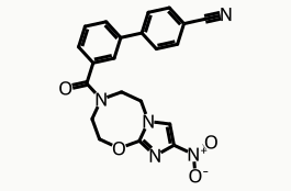 N#Cc1ccc(-c2cccc(C(=O)N3CCOc4nc([N+](=O)[O-])cn4CC3)c2)cc1